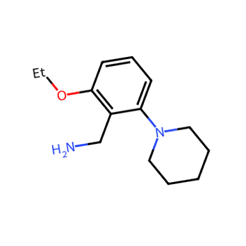 CCOc1cccc(N2CCCCC2)c1CN